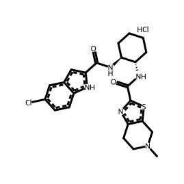 CN1CCc2nc(C(=O)N[C@H]3CCCC[C@@H]3NC(=O)c3cc4cc(Cl)ccc4[nH]3)sc2C1.Cl